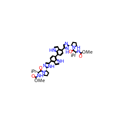 COC(=O)N[C@H](C(=O)N1CCC[C@H]1c1ncc(-c2ccc(-c3ccc(-c4cnc([C@@H]5CCCN5C(=O)[C@@H](NC(=O)OC)C(C)C)[nH]4)c4cc[nH]c34)c3[nH]ccc23)[nH]1)C(C)C